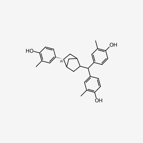 Cc1cc(C(c2ccc(O)c(C)c2)C2CC3CC2C[C@H]3c2ccc(O)c(C)c2)ccc1O